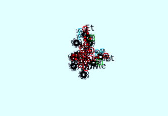 CCOc1ccc(Cc2cc([C@]34OC[C@@](C(O)C(O)C5(CO)O[C@@](OC)(c6ccc(Cl)c(Cc7ccc(OCC)c(F)c7F)c6)[C@H](OCc6ccccc6)[C@@H](OCc6ccccc6)[C@H]5OCc5ccccc5)(O3)[C@H](OCc3ccccc3)[C@H](OCc3ccccc3)[C@H]4OCc3ccccc3)ccc2Cl)c(F)c1F